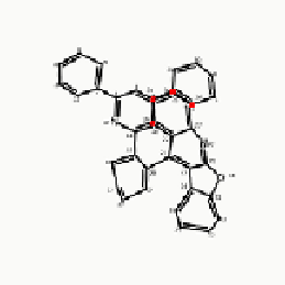 c1ccc(-c2cc(-c3ccccc3)nc(-c3ccccc3-c3c4ccccc4nc4oc5ccccc5c34)n2)cc1